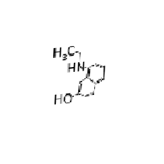 CCNc1cccc2ccc(O)cc12